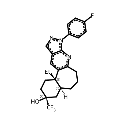 CC[C@]12CC[C@](O)(C(F)(F)F)C[C@@H]1CCCc1nc3c(cnn3-c3ccc(F)cc3)cc12